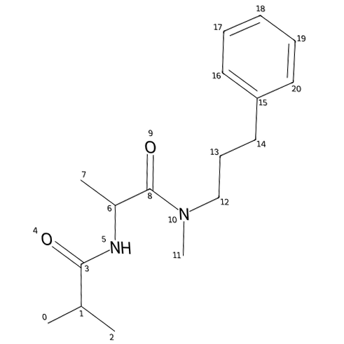 CC(C)C(=O)NC(C)C(=O)N(C)CCCc1ccccc1